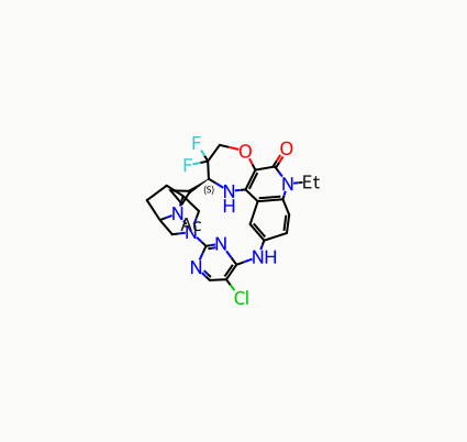 CCn1c(=O)c2c(c3cc(Nc4nc(N5CC6CCC(C5)N6C(C)=O)ncc4Cl)ccc31)N[C@@H](C1CC1)C(F)(F)CO2